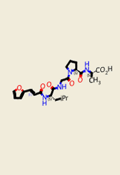 CC(C)C[C@H](NC(=O)/C=C/c1ccco1)C(=O)NCC(=O)N1CCC[C@H]1C(=O)N[C@@H](C)C(=O)O